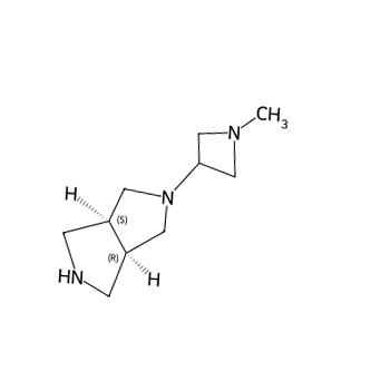 CN1CC(N2C[C@H]3CNC[C@H]3C2)C1